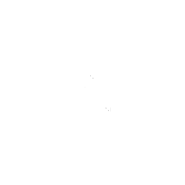 CCNC(=O)C1CNCC(C)C1